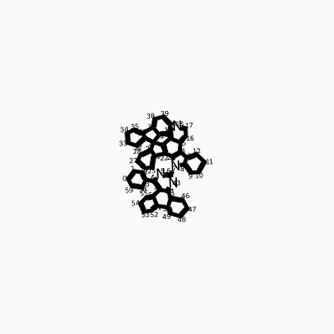 c1ccc(-c2nc(-n3c4ccccc4c4c5ccncc5c5c(c43)-c3ccccc3C53c4ccccc4-c4ccccc43)nc3c4ccccc4c4ccccc4c23)cc1